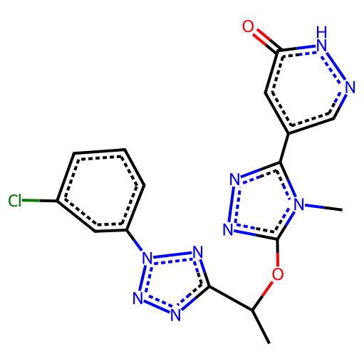 CC(Oc1nnc(-c2cn[nH]c(=O)c2)n1C)c1nnn(-c2cccc(Cl)c2)n1